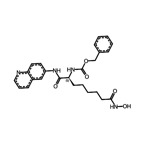 O=C(CCCCC[C@H](NC(=O)OCc1ccccc1)C(=O)Nc1ccc2ncccc2c1)NO